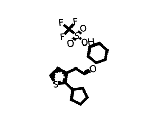 C1CCCCC1.O=CCc1ccsc1C1CCCC1.O=S(=O)(O)C(F)(F)F